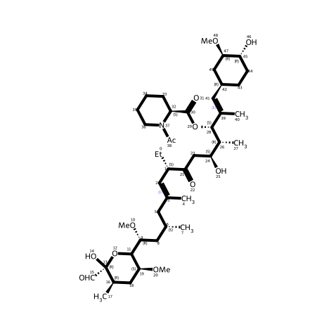 CC[C@@H](/C=C(\C)C[C@H](C)C[C@@H](OC)C1O[C@@](O)(C=O)[C@H](C)C[C@@H]1OC)C(=O)C[C@H](O)[C@@H](C)[C@H](OC(=O)[C@@H]1CCCCN1C(C)=O)/C(C)=C/[C@@H]1CC[C@@H](O)[C@H](OC)C1